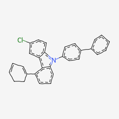 Clc1ccc2c(c1)c1c(C3=CC=CCC3)cccc1n2-c1ccc(-c2ccccc2)cc1